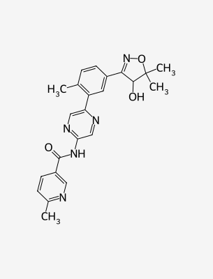 Cc1ccc(C(=O)Nc2cnc(-c3cc(C4=NOC(C)(C)C4O)ccc3C)cn2)cn1